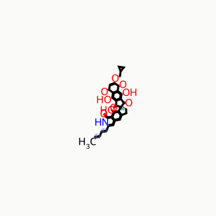 C/C=C/C=C/c1cc2cc3c(c(O)c2c(=O)[nH]1)[C@@]1(CC3)C(=O)c2c(O)c3c(c(O)c2C1=O)C(=O)C(OCC1CC1)=CC3=O